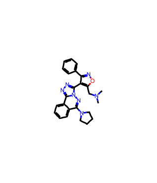 CN(C)Cc1onc(-c2ccccc2)c1-c1nnc2c3ccccc3c(N3CCCC3)nn12